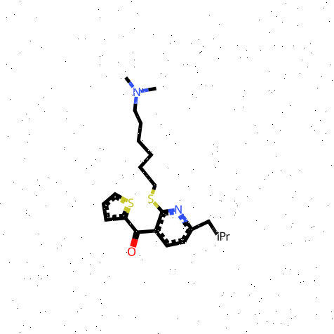 CC(C)Cc1ccc(C(=O)c2cccs2)c(SCCCCCCN(C)C)n1